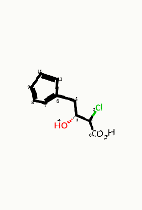 O=C(O)C(Cl)[C@H](O)Cc1ccccc1